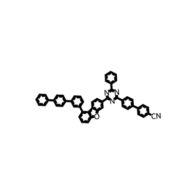 N#Cc1ccc(-c2ccc(-c3nc(-c4ccccc4)nc(-c4ccc5c(c4)oc4cccc(-c6cccc(-c7ccc(-c8ccccc8)cc7)c6)c45)n3)cc2)cc1